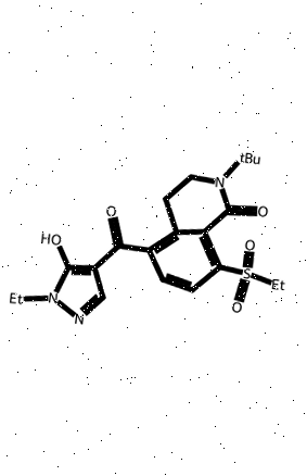 CCn1ncc(C(=O)c2ccc(S(=O)(=O)CC)c3c2CCN(C(C)(C)C)C3=O)c1O